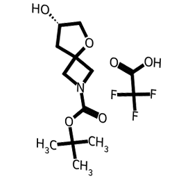 CC(C)(C)OC(=O)N1CC2(C[C@H](O)CO2)C1.O=C(O)C(F)(F)F